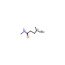 CCCC[C@H](C)CCC(=O)N(C)C